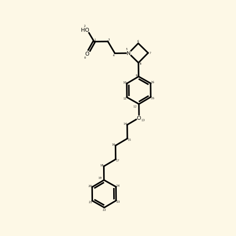 O=C(O)CCN1CCC1c1ccc(OCCCCCc2ccccc2)cc1